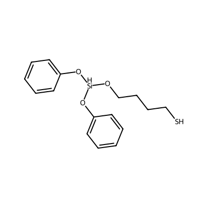 SCCCCO[SiH](Oc1ccccc1)Oc1ccccc1